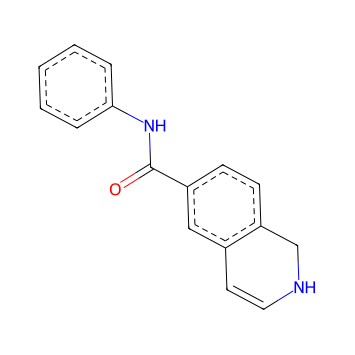 O=C(Nc1ccccc1)c1ccc2c(c1)C=CNC2